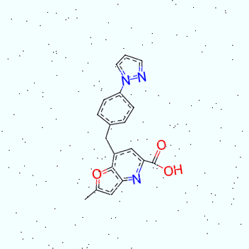 Cc1cc2nc(C(=O)O)cc(Cc3ccc(-n4cccn4)cc3)c2o1